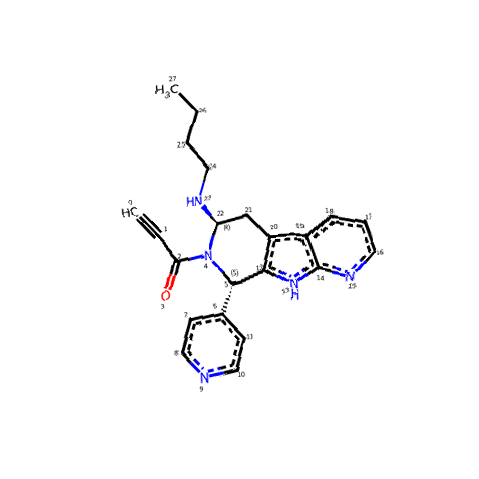 C#CC(=O)N1[C@@H](c2ccncc2)c2[nH]c3ncccc3c2C[C@@H]1NCCCC